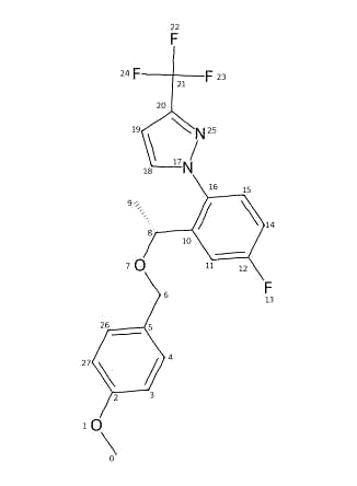 COc1ccc(CO[C@H](C)c2cc(F)ccc2-n2ccc(C(F)(F)F)n2)cc1